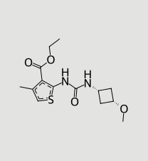 CCOC(=O)c1c(C)csc1NC(=O)N[C@H]1C[C@@H](OC)C1